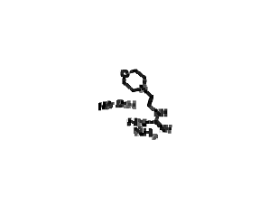 Br.Br.N=C(NN)NCCN1CCOCC1